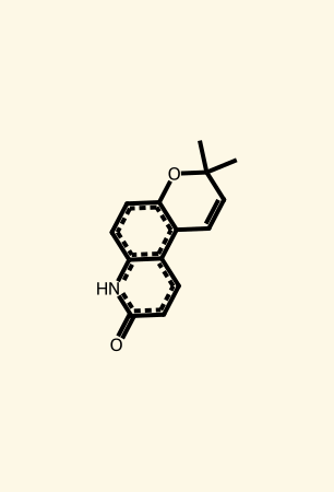 CC1(C)C=Cc2c(ccc3[nH]c(=O)ccc23)O1